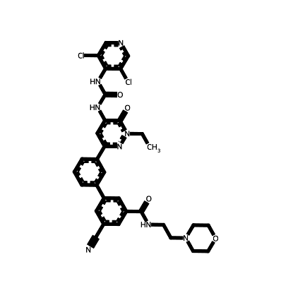 CCn1nc(-c2cccc(-c3cc(C#N)cc(C(=O)NCCN4CCOCC4)c3)c2)cc(NC(=O)Nc2c(Cl)cncc2Cl)c1=O